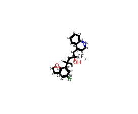 CC(C)(CC(O)(Cc1ccnc2ccccc12)C(F)(F)F)c1cc(F)cc2c1OCC2